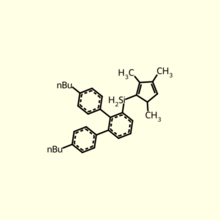 CCCCc1ccc(-c2cccc([SiH2]C3=C(C)C(C)=CC3C)c2-c2ccc(CCCC)cc2)cc1